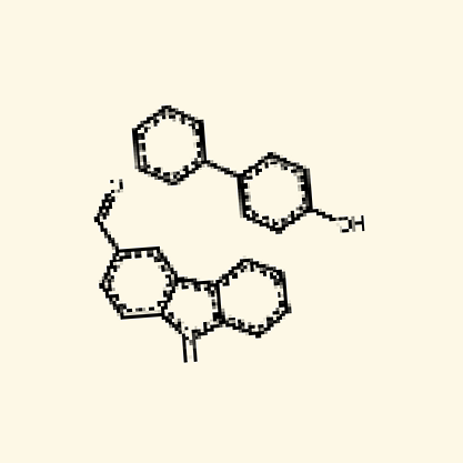 O=Cc1ccc2[nH]c3ccccc3c2c1.Oc1ccc(-c2ccccc2)cc1